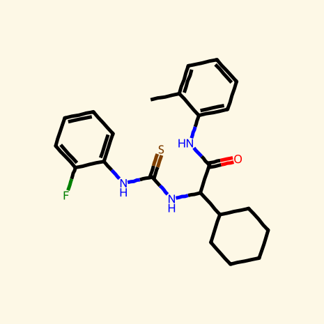 Cc1ccccc1NC(=O)C(NC(=S)Nc1ccccc1F)C1CCCCC1